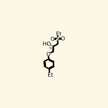 CCc1ccc(OC[C@H](O)CS(=O)(=O)CC)cc1